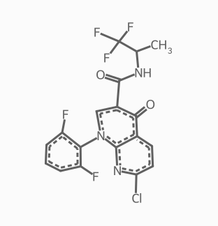 CC(NC(=O)c1cn(-c2c(F)cccc2F)c2nc(Cl)ccc2c1=O)C(F)(F)F